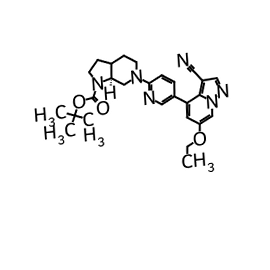 CCOc1cc(-c2ccc(N3CCC4CCN(C(=O)OC(C)(C)C)[C@@H]4C3)nc2)c2c(C#N)cnn2c1